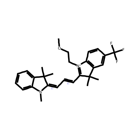 COCC[N+]1=C(/C=C/C=C2/N(C)c3ccccc3C2(C)C)C(C)(C)c2cc(C(F)(F)F)ccc21